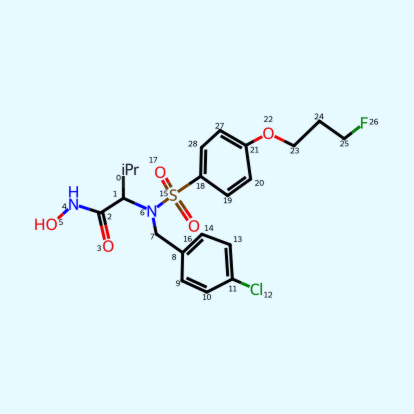 CC(C)C(C(=O)NO)N(Cc1ccc(Cl)cc1)S(=O)(=O)c1ccc(OCCCF)cc1